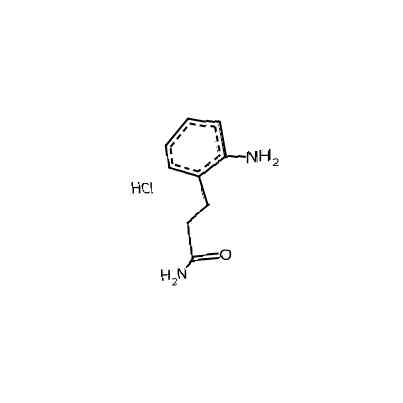 Cl.NC(=O)CCc1ccccc1N